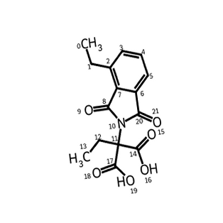 CCc1cccc2c1C(=O)N(C(CC)(C(=O)O)C(=O)O)C2=O